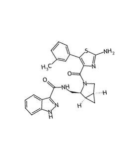 Cc1cccc(-c2sc(N)nc2C(=O)N2C[C@H]3C[C@H]3[C@H]2CNC(=O)c2n[nH]c3ccccc23)c1